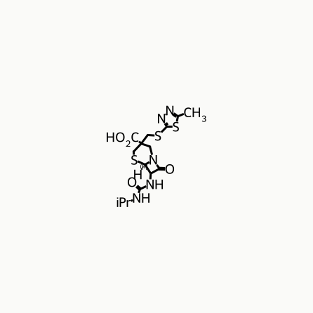 Cc1nnc(SCC2(C(=O)O)CS[C@@H]3C(NC(=O)NC(C)C)C(=O)N3C2)s1